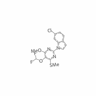 COc1nc(-n2ccc3ccc(Cl)cc32)nc(SC)c1OC(F)F